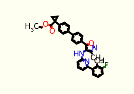 CCOC(=O)C1(c2ccc(-c3ccc(-c4onc(C)c4Nc4cccc(-c5cccc(F)c5C)n4)cc3)cc2)CC1